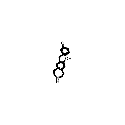 Oc1cccc(Cc2cc3c(cc2O)CCNCC3)c1